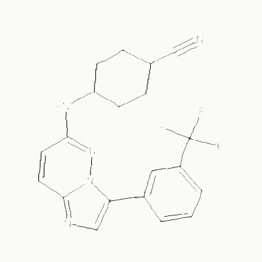 N#CC1CCC(Nc2ccc3ncc(-c4cccc(C(F)(F)F)c4)n3n2)CC1